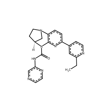 CCc1cc(-c2ccc3c(n2)N(C(=O)Nc2cnccn2)[C@H]2CCN3C2)ccn1